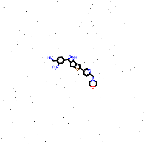 N=Cc1ccc(-c2n[nH]c3c2Cc2sc(-c4ccc(CN5CCOCC5)nc4)cc2-3)cc1N